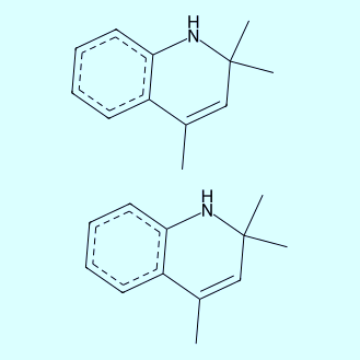 CC1=CC(C)(C)Nc2ccccc21.CC1=CC(C)(C)Nc2ccccc21